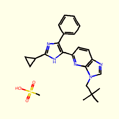 CC(C)(C)Cn1cnc2ccc(-c3[nH]c(C4CC4)nc3-c3ccccc3)nc21.CS(=O)(=O)O